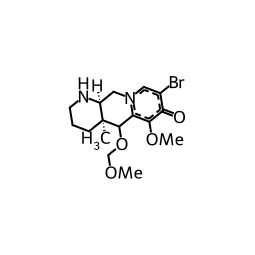 COCOC1c2c(OC)c(=O)c(Br)cn2C[C@@H]2NCCC[C@]12C